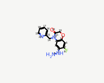 NNc1cc2c(cc1F)OCC(=O)N2Cc1ccccn1